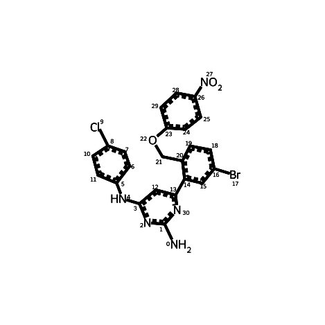 Nc1nc(Nc2ccc(Cl)cc2)cc(-c2cc(Br)ccc2COc2ccc([N+](=O)[O-])cc2)n1